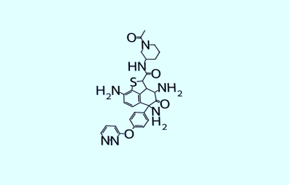 CC(=O)N1CCCC(NC(=O)C2Sc3c(N)ccc4c3C2C(N)C(=O)C4(N)c2ccc(Oc3cccnn3)cc2)C1